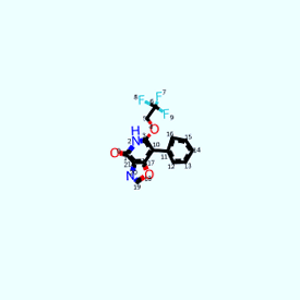 O=c1[nH]c(OCC(F)(F)F)c(-c2ccccc2)c2ocnc12